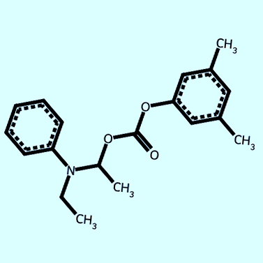 CCN(c1ccccc1)C(C)OC(=O)Oc1cc(C)cc(C)c1